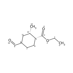 CCOC(=O)[C@@H]1CCC(C=O)C[C@@H]1C